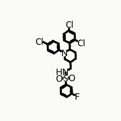 O=S(=O)(NCC1CCC(c2ccc(Cl)cc2Cl)N(c2ccc(Cl)cc2)C1)c1cccc(F)c1